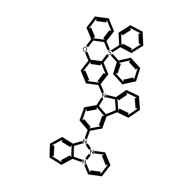 C1=CN2c3ccccc3N(c3ccc4c(c3)c3ccccc3n4-c3ccc4c(c3)S(c3ccccc3)(c3ccccc3)c3ccccc3O4)N2C=C1